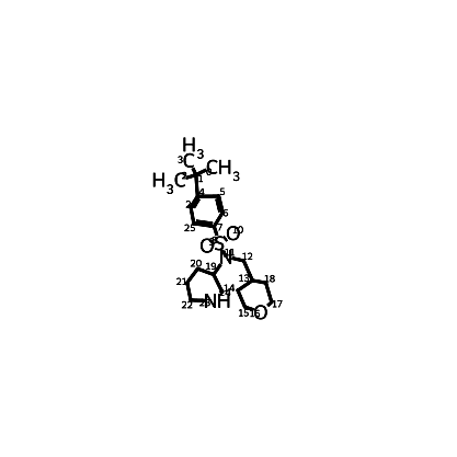 CC(C)(C)c1ccc(S(=O)(=O)N(CC2CCOCC2)C2CCCNC2)cc1